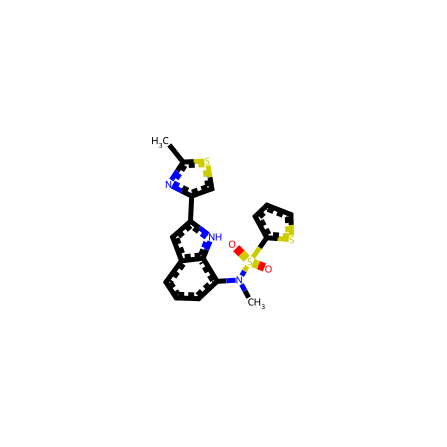 Cc1nc(-c2cc3cccc(N(C)S(=O)(=O)c4cccs4)c3[nH]2)cs1